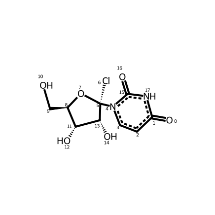 O=c1ccn([C@]2(Cl)O[C@H](CO)[C@@H](O)[C@H]2O)c(=O)[nH]1